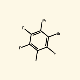 Cc1c(F)c(F)c(C(C)C)c(Br)c1F